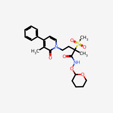 Cc1c(-c2ccccc2)ccn(CCC(C)(C(=O)NOC2CCCCO2)S(C)(=O)=O)c1=O